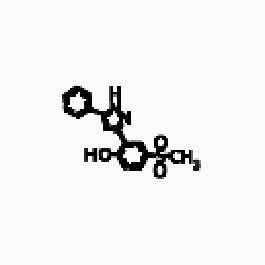 CS(=O)(=O)c1ccc(O)c(-c2cc(-c3ccccc3)[nH]n2)c1